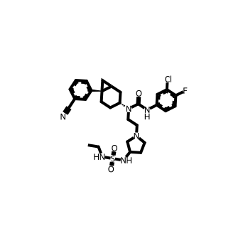 CCNS(=O)(=O)NC1CCN(CCN(C(=O)Nc2ccc(F)c(Cl)c2)[C@@H]2CC[C@]3(c4cccc(C#N)c4)CC3C2)C1